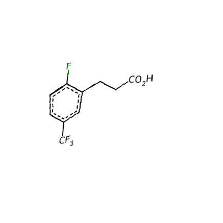 O=C(O)CCc1cc(C(F)(F)F)ccc1F